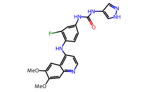 COc1cc2nccc(Nc3ccc(NC(=O)Nc4cn[nH]c4)cc3F)c2cc1OC